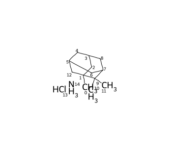 CC12CC3CC(CC(C3)C1(C)C)C2.Cl.N